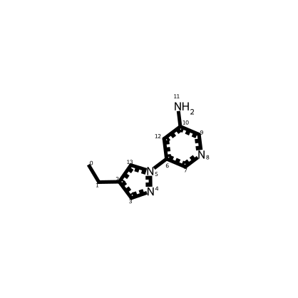 CCc1cnn(-c2cncc(N)c2)c1